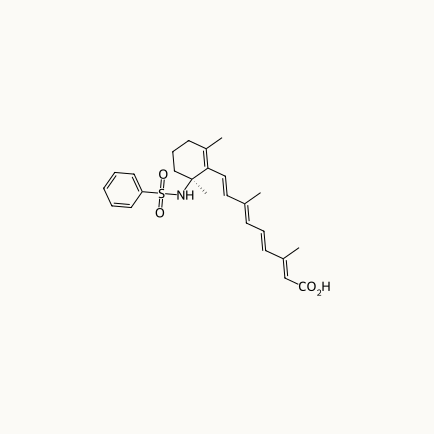 CC1=C(/C=C/C(C)=C/C=C/C(C)=C/C(=O)O)[C@@](C)(NS(=O)(=O)c2ccccc2)CCC1